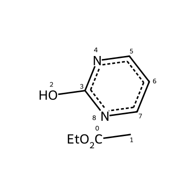 CCOC(C)=O.Oc1ncccn1